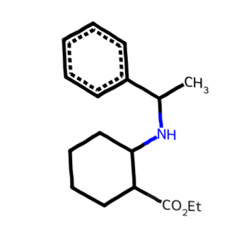 CCOC(=O)C1CCCCC1NC(C)c1ccccc1